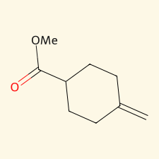 C=C1CCC(C(=O)OC)CC1